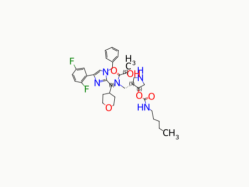 CCCCCNC(=O)O[C@@H]1CNC[C@H]1CN(C(=O)[C@H](C)O)[C@@H](c1nc(-c2cc(F)ccc2F)cn1Cc1ccccc1)C1CCOCC1